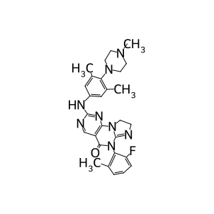 Cc1cc(Nc2ncc3c(n2)N2CCN=C2N(c2c(C)cccc2F)C3=O)cc(C)c1N1CCN(C)CC1